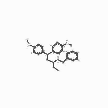 CCC(CC(c1ccc(OC)cc1)c1ccc(OC)cc1)NCc1ccccc1